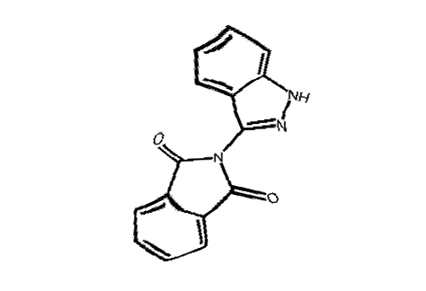 O=C1c2ccccc2C(=O)N1c1n[nH]c2ccccc12